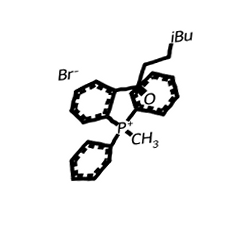 CCC(C)CCC(=O)c1ccccc1[P+](C)(c1ccccc1)c1ccccc1.[Br-]